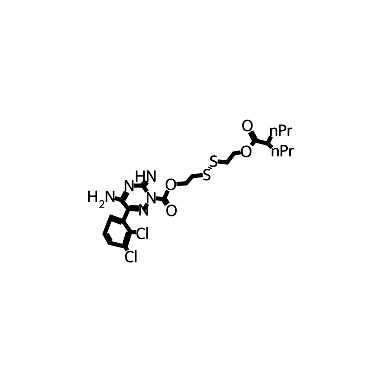 CCCC(CCC)C(=O)OCCSSCCOC(=O)n1nc(-c2cccc(Cl)c2Cl)c(N)nc1=N